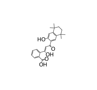 CC1(C)CCC(C)(C)c2cc(C(=O)C=C(O)c3ccccc3C(=O)O)c(O)cc21